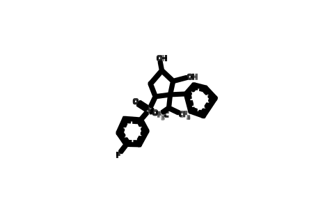 O=S(=O)(c1ccc(F)cc1)C1CC(O)C(O)C1(c1ccccc1)C(C(F)(F)F)C(F)(F)F